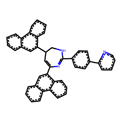 C1=C(c2cc3ccccc3c3ccccc23)N=C(c2ccc(-c3ccccn3)cc2)NCC1c1cc2ccccc2c2ccccc12